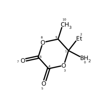 BC1(CC)OC(=O)C(=O)OC1C